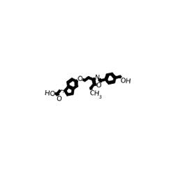 CCc1oc(-c2ccc(CO)cc2)nc1CCOc1ccc2c(c1)CC[C@@H]2CC(=O)O